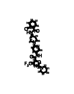 O=C(NN1CCN(c2ccc(NC(=O)c3oc(N4CCCCC4)nc3C(F)(F)F)cn2)CC1)c1ccccc1Cl